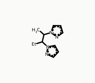 CCC(C(C)n1cccn1)n1cccn1